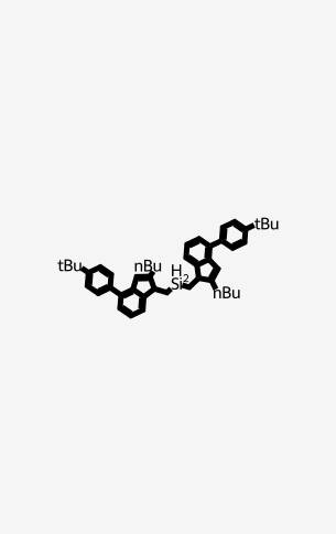 CCCCC1=Cc2c(-c3ccc(C(C)(C)C)cc3)cccc2C1C[SiH2]CC1C(CCCC)=Cc2c(-c3ccc(C(C)(C)C)cc3)cccc21